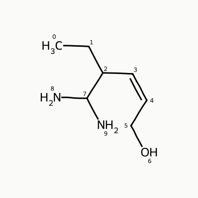 CCC(/C=C\CO)C(N)N